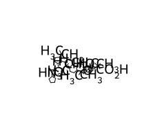 C=C(C)[C@@H]1CC[C@]2(CC(=O)NC3CCCC3)CC[C@]3(C)[C@H](CCC4[C@@]5(C)CC[C@H](OC(=O)CC(C)(C)C(=O)O)C(C)(C)C5CC[C@]43C)[C@@H]12